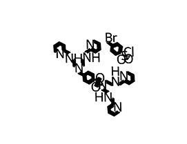 O=S(=O)(Cl)c1ccc(CBr)cc1.O=S(=O)(c1ccc(CN(CCNCc2ccccn2)CCNCc2ccccn2)cc1)N(CCNCc1ccccn1)CCNCc1ccccn1